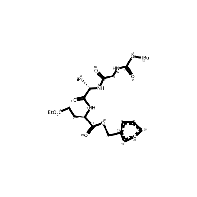 CCOC(=O)CC[C@@H](NC(=O)[C@@H](NC(=O)CNC(=O)OC(C)(C)C)C(C)C)C(=O)OCc1ccccc1